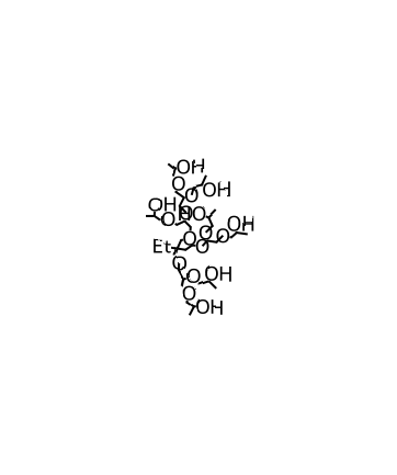 CCC(CCOC(COCC(C)O)OCC(C)O)(COCC(COCC(C)O)OCC(C)O)COCC(COCC(C)O)OCC(COCC(C)O)OCC(C)O